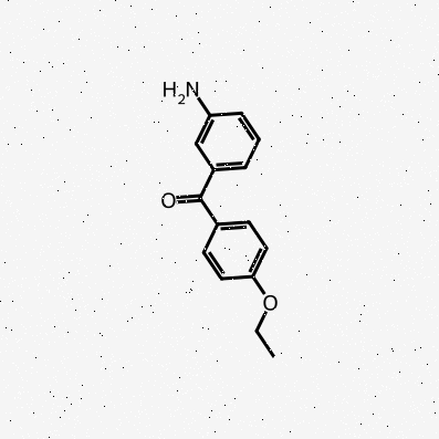 CCOc1ccc(C(=O)c2cccc(N)c2)cc1